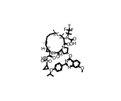 COc1ccc2c(O[C@@H]3C[C@H]4C(=O)N[C@]5(C(=O)NS(=O)(=O)C6CC6)C[C@H]5/C=C\CC[C@@H](C)C[C@@H](C)[C@H](N(C(=O)O)C(C)(C)C(F)(F)F)C(=O)N4C3)nc(-c3ccc(OC(C)C)cc3)nc2c1